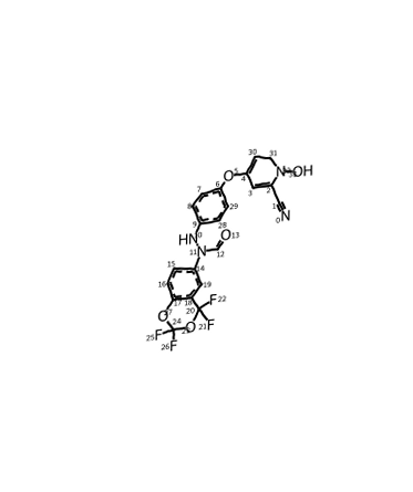 N#CC1=CC(Oc2ccc(NN(C=O)c3ccc4c(c3)C(F)(F)OC(F)(F)O4)cc2)=CCN1O